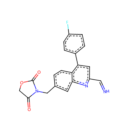 N=Cc1cc(-c2ccc(F)cc2)c2ccc(CN3C(=O)COC3=O)cc2n1